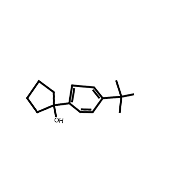 CC(C)(C)c1ccc(C2(O)CCCC2)cc1